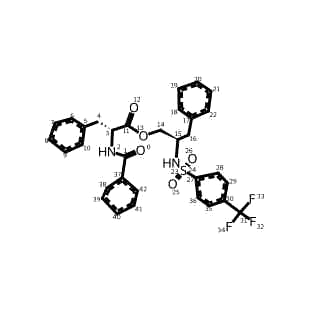 O=C(N[C@H](Cc1ccccc1)C(=O)OC[C@@H](Cc1ccccc1)NS(=O)(=O)c1ccc(C(F)(F)F)cc1)c1ccccc1